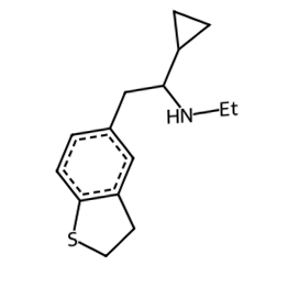 CCNC(Cc1ccc2c(c1)CCS2)C1CC1